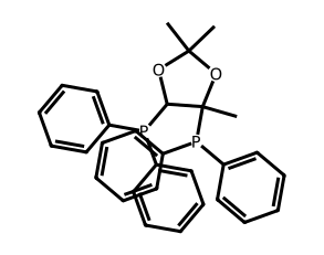 CC1(C)OC(P(c2ccccc2)c2ccccc2)C(C)(P(c2ccccc2)c2ccccc2)O1